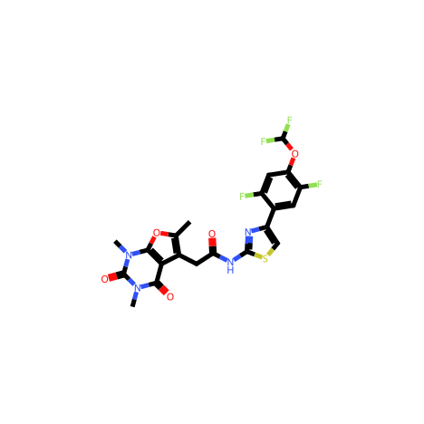 Cc1oc2c(c1CC(=O)Nc1nc(-c3cc(F)c(OC(F)F)cc3F)cs1)c(=O)n(C)c(=O)n2C